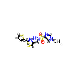 Cn1cnc(S(=O)(=O)NCc2csc(-c3cccs3)n2)c1